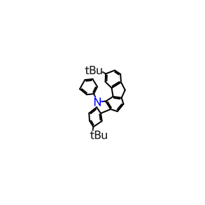 CC(C)(C)c1ccc2c(c1)-c1c(ccc3c4cc(C(C)(C)C)ccc4n(-c4ccccc4)c13)C2